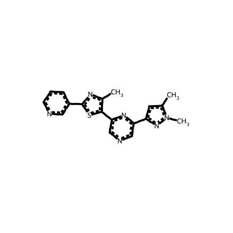 Cc1nc(-c2cccnc2)sc1-c1cncc(-c2cc(C)n(C)n2)n1